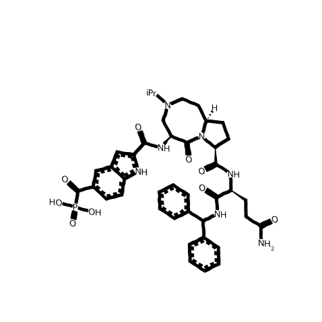 CC(C)N1CC[C@H]2CC[C@@H](C(=O)N[C@@H](CCC(N)=O)C(=O)NC(c3ccccc3)c3ccccc3)N2C(=O)[C@@H](NC(=O)c2cc3cc(C(=O)P(=O)(O)O)ccc3[nH]2)C1